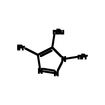 CCCCc1c(C(C)C)nnn1CCC